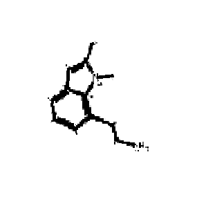 Cc1cc2cccc(CCN)c2n1C